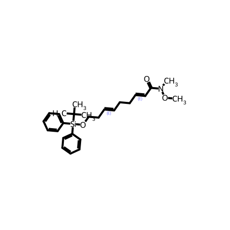 CON(C)C(=O)/C=C/CC/C=C/CCO[Si](c1ccccc1)(c1ccccc1)C(C)(C)C